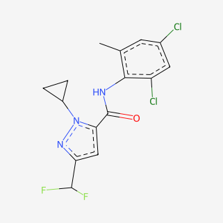 Cc1cc(Cl)cc(Cl)c1NC(=O)c1cc(C(F)F)nn1C1CC1